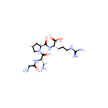 N=C(N)NCCC[C@H](NC(=O)[C@@H]1CCCN1C(=O)[C@H](CN)NC(=O)CN)C(=O)O